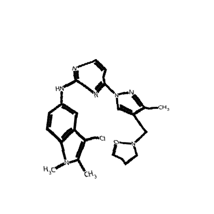 Cc1nn(-c2ccnc(Nc3ccc4c(c3)c(Cl)c(C)n4C)n2)cc1CN1CCCO1